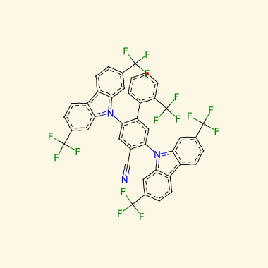 N#Cc1cc(-n2c3cc(C(F)(F)F)ccc3c3ccc(C(F)(F)F)cc32)c(-c2ccccc2C(F)(F)F)cc1-n1c2cc(C(F)(F)F)ccc2c2ccc(C(F)(F)F)cc21